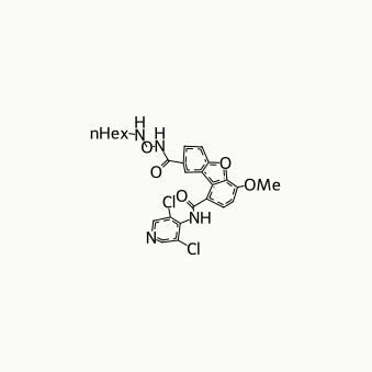 CCCCCCNONC(=O)c1ccc2oc3c(OC)ccc(C(=O)Nc4c(Cl)cncc4Cl)c3c2c1